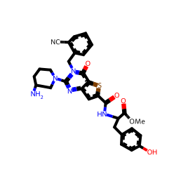 COC(=O)C(Cc1ccc(O)cc1)NC(=O)c1cc2nc(N3CCCC(N)C3)n(Cc3ccccc3C#N)c(=O)c2s1